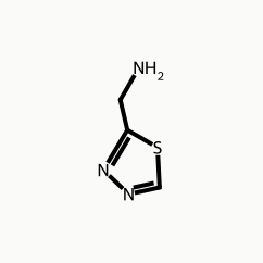 NCc1nncs1